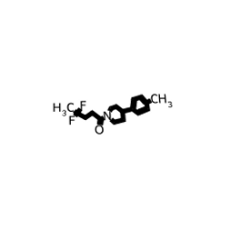 Cc1ccc(C2CCN(C(=O)CCC(C)(F)F)CC2)cc1